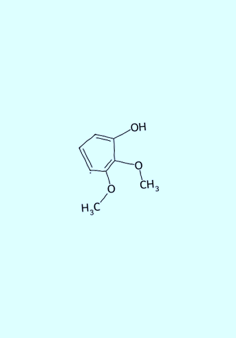 COc1[c]ccc(O)c1OC